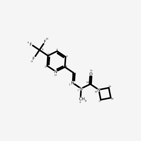 CN(/N=C/c1ccc(C(F)(F)F)cn1)C(=O)N1CCC1